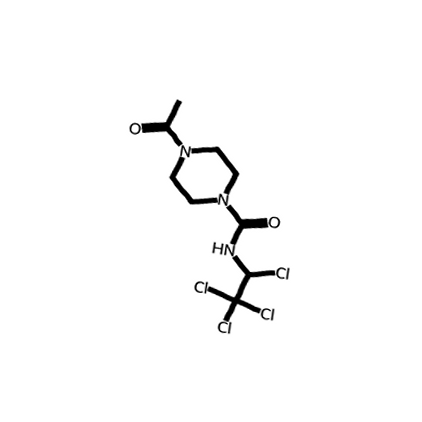 CC(=O)N1CCN(C(=O)NC(Cl)C(Cl)(Cl)Cl)CC1